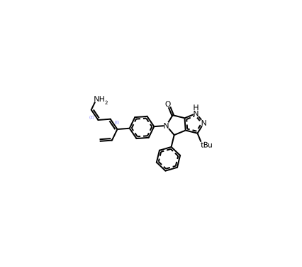 C=C/C(=C\C=C/N)c1ccc(N2C(=O)c3[nH]nc(C(C)(C)C)c3C2c2ccccc2)cc1